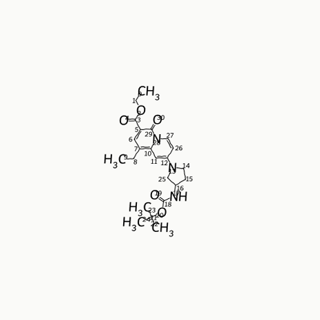 CCOC(=O)c1cc(CC)c2cc(N3CCC(NC(=O)OC(C)(C)C)C3)ccn2c1=O